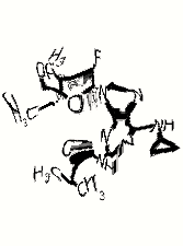 CC[C@@]1(CO)O[C@@H](n2cnc3c(NC4CC4)nc(NC(=O)C(C)C)nc32)[C@H](F)[C@@H]1C